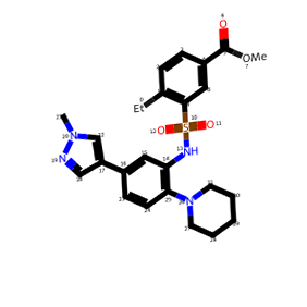 CCc1ccc(C(=O)OC)cc1S(=O)(=O)Nc1cc(-c2cnn(C)c2)ccc1N1CCCCC1